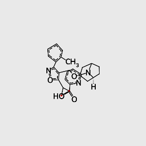 Cc1ccccc1-c1noc(C2CC2)c1COC1CC2CC[C@@H](C1)N2c1cccc(C(=O)O)n1